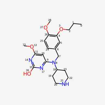 CCCOc1cc(CN(c2cc(OC)nc(O)n2)C2CCNCC2)ccc1OC